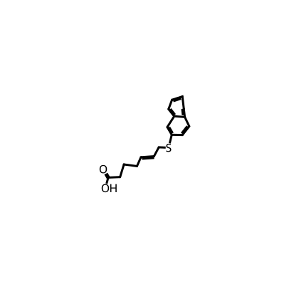 O=C(O)CCC/C=C/CSc1ccc2ccccc2c1